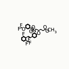 COC(=O)CCC1CN(S(=O)(=O)c2cccc(OC(F)F)c2)c2cc(C=Cc3c(F)cccc3C(F)(F)F)ccc2O1